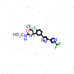 C[C@@]1(c2cc(-c3cc(-c4cnn(C(F)F)c4)no3)ccc2F)C[C@@H](C(F)(F)F)OC(NC(=O)O)=N1